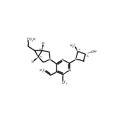 C=Cc1c(N2C[C@@H]3C(CC(=O)O)[C@@H]3C2)nc(N2C[C@@H](O)[C@@H]2C)nc1C(F)(F)F